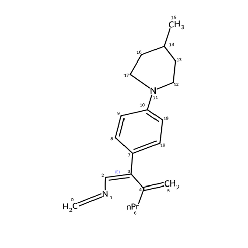 C=N/C=C(\C(=C)CCC)c1ccc(N2CCC(C)CC2)cc1